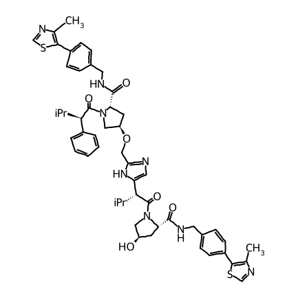 Cc1ncsc1-c1ccc(CNC(=O)[C@@H]2C[C@@H](OCc3ncc([C@H](C(=O)N4C[C@H](O)C[C@H]4C(=O)NCc4ccc(-c5scnc5C)cc4)C(C)C)[nH]3)CN2C(=O)[C@@H](c2ccccc2)C(C)C)cc1